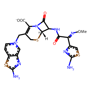 CON=C(C(=O)NC1C(=O)N2C(C(=O)[O-])=C(C[n+]3ccc4sc(N)nc4c3)CS[C@@H]12)c1csc(N)n1